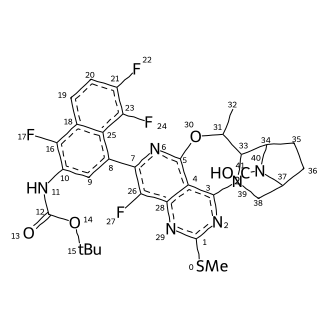 CSc1nc2c3c(nc(-c4cc(NC(=O)OC(C)(C)C)c(F)c5ccc(F)c(F)c45)c(F)c3n1)OC(C)C1C3CCC(CN21)N3C(=O)O